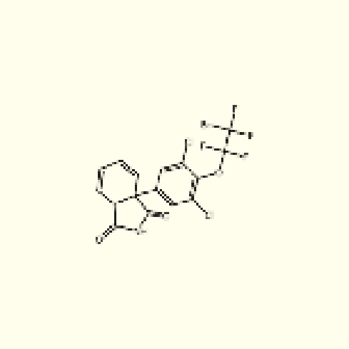 O=C1NC(=O)C2(c3cc(Cl)c(OC(F)(F)C(F)(F)Br)c(Cl)c3)C=CC=CC12